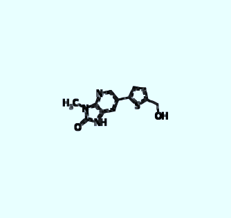 Cn1c(=O)[nH]c2cc(-c3ccc(CO)s3)cnc21